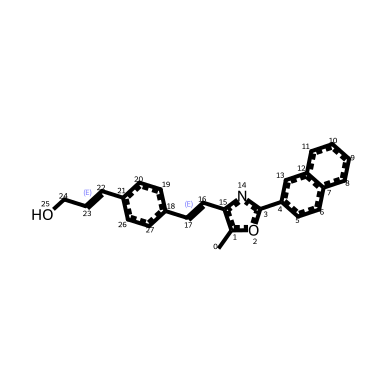 Cc1oc(-c2ccc3ccccc3c2)nc1/C=C/c1ccc(/C=C/CO)cc1